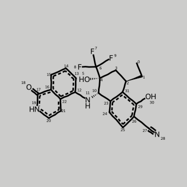 CC[C@@H]1C[C@](O)(C(F)(F)F)[C@@H](Nc2cccc3c(=O)[nH]ccc23)c2ccc(C#N)c(O)c21